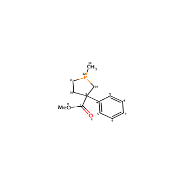 COC(=O)C1(c2ccccc2)CCP(C)C1